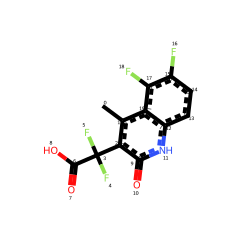 Cc1c(C(F)(F)C(=O)O)c(=O)[nH]c2ccc(F)c(F)c12